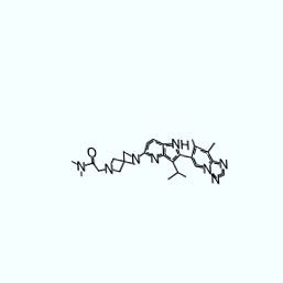 Cc1c(-c2[nH]c3ccc(N4CC5(CN(CC(=O)N(C)C)C5)C4)nc3c2C(C)C)cn2ncnc2c1C